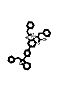 O=C(Cc1ccccc1)Nc1cc(-c2ccc(-c3c(Cc4ccccc4)oc4ccccc34)cc2)ccc1NC(Cc1ccccc1)C(=O)O